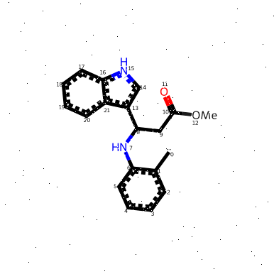 [CH]c1ccccc1NC(CC(=O)OC)c1c[nH]c2ccccc12